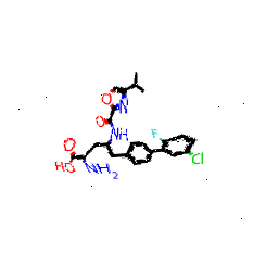 CC(C)c1coc(C(=O)NC(Cc2ccc(-c3cc(Cl)ccc3F)cc2)CC(N)C(=O)O)n1